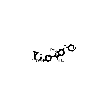 CC(C)n1c(-c2ccc(NC(=O)O[C@H](C)C3CC3)cc2)c(N)c2ccc(OC3CCOCC3)cc21